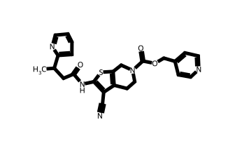 CC(CC(=O)Nc1sc2c(c1C#N)CCN(C(=O)OCc1ccncc1)C2)c1ccccn1